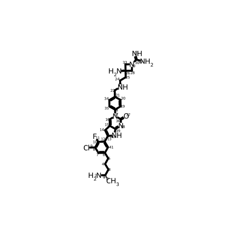 C[C@H](N)CCCc1cc(Cl)c(F)c(-c2cc3cn(-c4ccc(CNCCC5(N)CN(C(=N)N)C5)cc4)c(=O)nc3[nH]2)c1